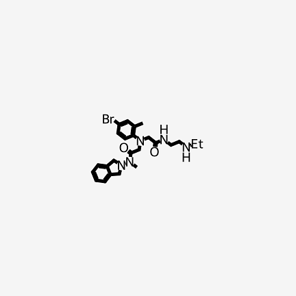 CCNCCNC(=O)CN(CC(=O)N(C)N1Cc2ccccc2C1)c1ccc(Br)cc1C